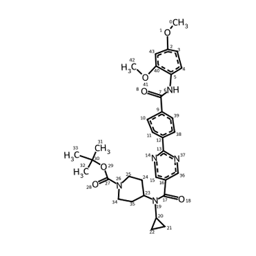 COc1ccc(NC(=O)c2ccc(-c3ncc(C(=O)N(C4CC4)C4CCN(C(=O)OC(C)(C)C)CC4)cn3)cc2)c(OC)c1